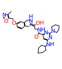 Cc1ncoc1COc1ccc2c(c1)CN[C@H]([C@H](O)CNC(=O)c1cc(NC3CCCCC3)nc(N3CCCCC3)n1)C2